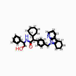 O=C(NC(CO)c1ccccc1)C(c1ccc(Cn2c3c(c4cccnc42)CCCC3)cc1)C1CCCCCC1